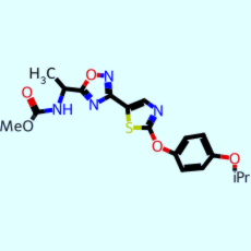 COC(=O)NC(C)c1nc(-c2cnc(Oc3ccc(OC(C)C)cc3)s2)no1